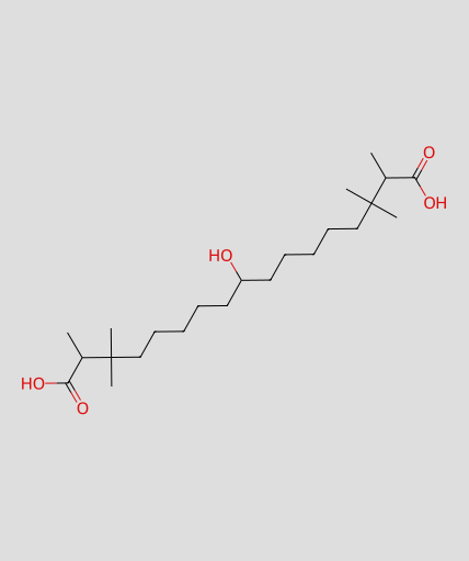 CC(C(=O)O)C(C)(C)CCCCCC(O)CCCCCC(C)(C)C(C)C(=O)O